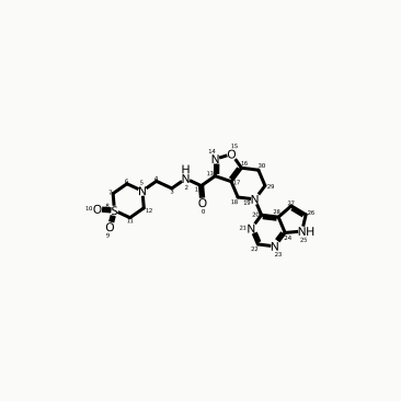 O=C(NCCN1CCS(=O)(=O)CC1)c1noc2c1CN(c1ncnc3[nH]ccc13)CC2